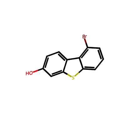 Oc1ccc2c(c1)sc1cccc(Br)c12